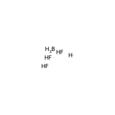 B.F.F.F.[H]